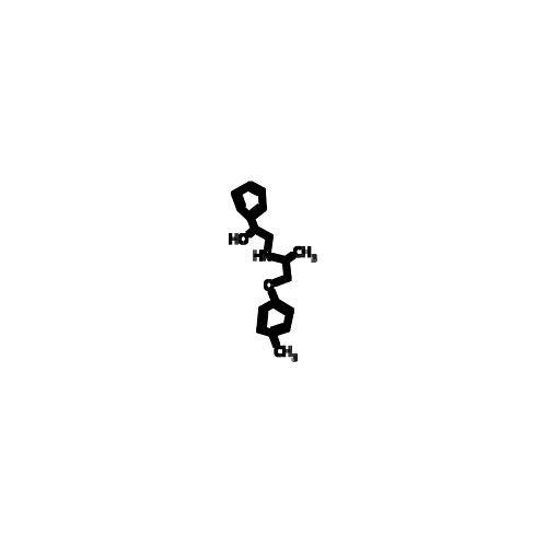 Cc1ccc(OCC(C)NCC(O)c2ccccc2)cc1